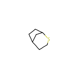 C1CC2CCC(C2)S1